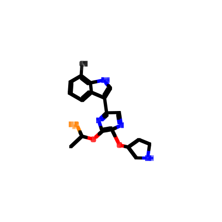 CC(P)Oc1nc(-c2c[nH]c3c(C#N)cccc23)cnc1OC1CCNC1